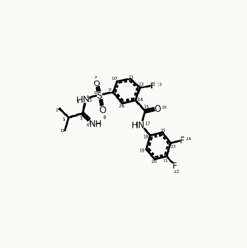 CC(C)C(=N)NS(=O)(=O)c1ccc(F)c(C(=O)Nc2ccc(F)c(F)c2)c1